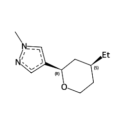 CC[C@H]1CCO[C@@H](c2cnn(C)c2)C1